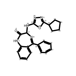 O=C1Nc2ccccc2C(c2ccccc2)=NC1Nc1nnc(C2CCCC2)o1